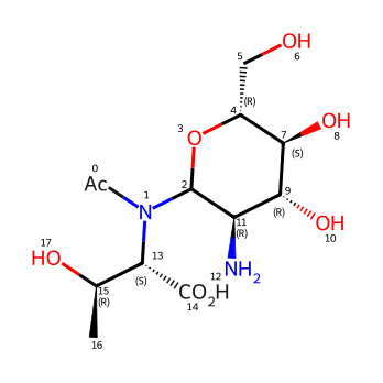 CC(=O)N(C1O[C@H](CO)[C@@H](O)[C@H](O)[C@H]1N)[C@H](C(=O)O)[C@@H](C)O